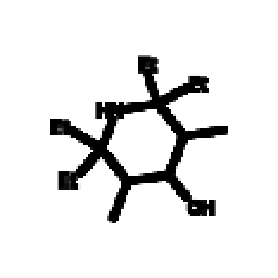 CCC1(CC)NC(CC)(CC)C(C)C(O)C1C